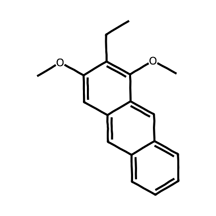 CCc1c(OC)cc2cc3ccccc3cc2c1OC